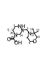 C[C@@H]1CN[C@@H](CN2CCOCC2(C)C)CN1C(=O)O